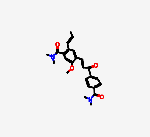 CC=Cc1cc(C=CC(=O)c2ccc(C(=O)N(C)C)cc2)c(OC)cc1C(=O)N(C)C